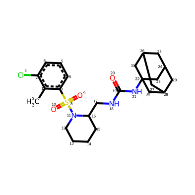 Cc1c(Cl)cccc1S(=O)(=O)N1CCCCC1CNC(=O)NC12CC3CC(CC(C3)C1)C2